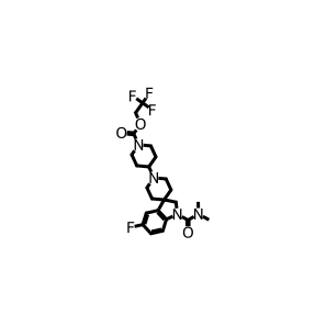 CN(C)C(=O)N1CC2(CCN(C3CCN(C(=O)OCC(F)(F)F)CC3)CC2)c2cc(F)ccc21